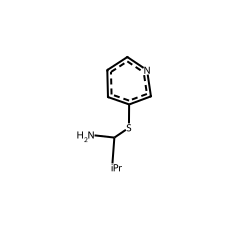 CC(C)C(N)Sc1cccnc1